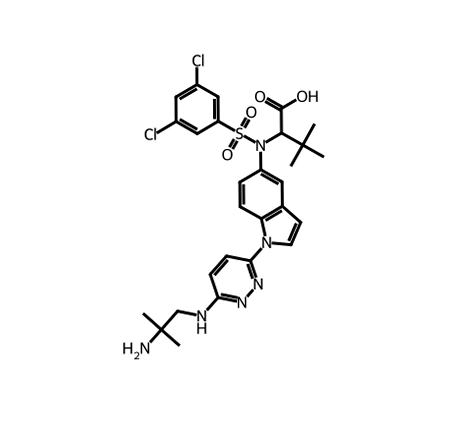 CC(C)(N)CNc1ccc(-n2ccc3cc(N(C(C(=O)O)C(C)(C)C)S(=O)(=O)c4cc(Cl)cc(Cl)c4)ccc32)nn1